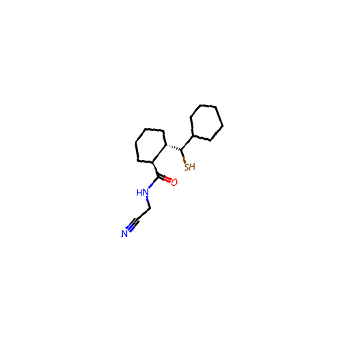 N#CCNC(=O)[C@H]1CCCC[C@@H]1C(S)C1CCCCC1